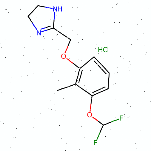 Cc1c(OCC2=NCCN2)cccc1OC(F)F.Cl